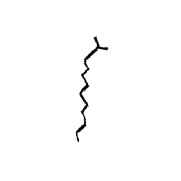 CC=CCCCCCCC=C(C)C